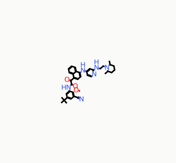 COc1c(C#N)cc(C(C)(C)C)cc1NC(=O)C(=O)c1ccc(Nc2ccnc(NCCN3C(C)CCCC3C)c2)c2ccccc12